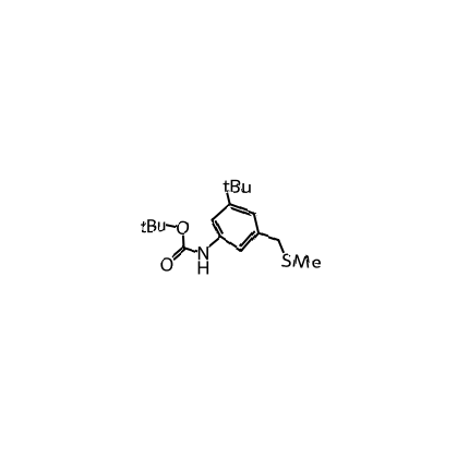 CSCc1cc(NC(=O)OC(C)(C)C)cc(C(C)(C)C)c1